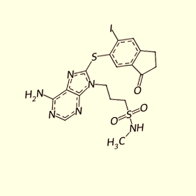 CNS(=O)(=O)CCCn1c(Sc2cc3c(cc2I)CCC3=O)nc2c(N)ncnc21